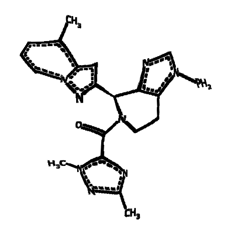 Cc1nc(C(=O)N2CCc3c(ncn3P)[C@@H]2c2cc3c(C)cccn3n2)n(C)n1